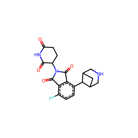 O=C1CCC(N2C(=O)c3c(F)ccc(C4C5CNCC4C5)c3C2=O)C(=O)N1